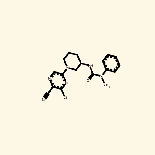 CN(C(=O)NC1CCCN(c2cnc(C#N)c(Cl)n2)C1)c1ccccc1